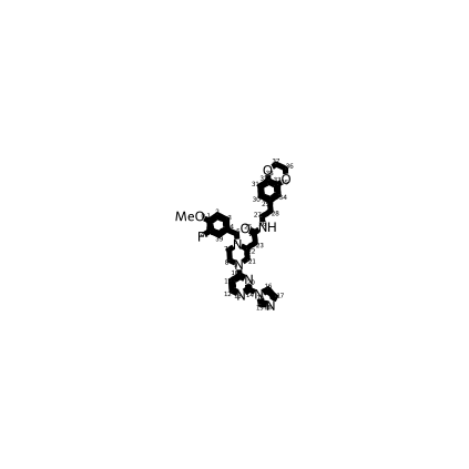 COc1ccc(CN2CCN(c3ccnc(-n4ccnc4)n3)CC2CC(=O)NCCc2ccc3c(c2)OCCO3)cc1F